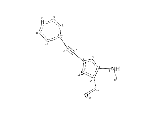 CNc1cc(C#Cc2ccncc2)sc1C=O